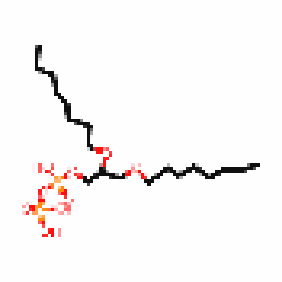 CCCCCCCCOCC(COP(=O)(O)OP(=O)(O)O)OCCCCCCCC